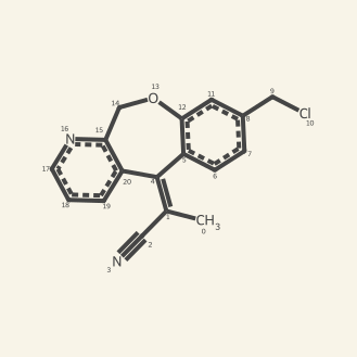 C/C(C#N)=C1\c2ccc(CCl)cc2OCc2ncccc21